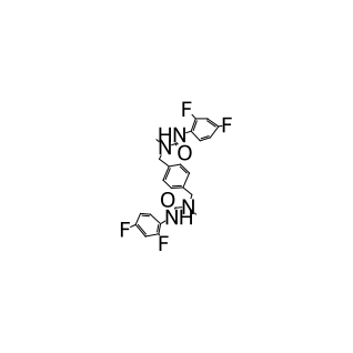 CN(Cc1ccc(CN(C)C(=O)Nc2ccc(F)cc2F)cc1)C(=O)Nc1ccc(F)cc1F